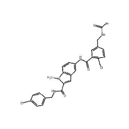 CC(C)C(=O)NCc1ccc(Cl)c(C(=O)Nc2ccc3c(c2)cc(C(=O)NCc2ccc(Cl)cc2)n3C)c1